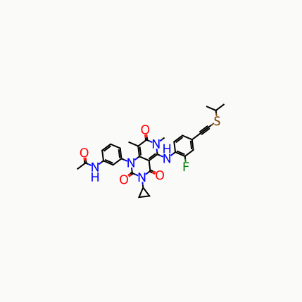 CC(=O)Nc1cccc(-n2c(=O)n(C3CC3)c(=O)c3c(Nc4ccc(C#CSC(C)C)cc4F)n(C)c(=O)c(C)c32)c1